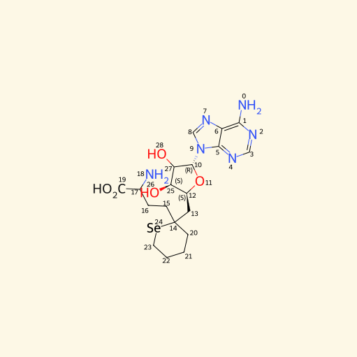 Nc1ncnc2c1ncn2[C@@H]1O[C@@H](CC2(CCC(N)C(=O)O)CCCC[Se]2)[C@@H](O)C1O